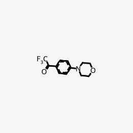 O=C(c1ccc(N2CCOCC2)cc1)C(F)(F)F